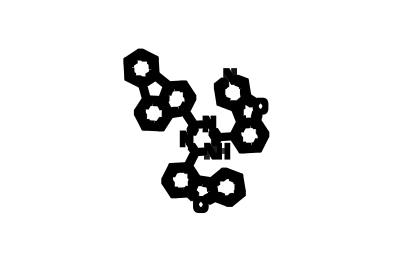 c1ccc2c(c1)-c1cccc3c(C4=NC(c5cccc6oc7ccccc7c56)NC(c5cccc6oc7cnccc7c56)=N4)ccc-2c13